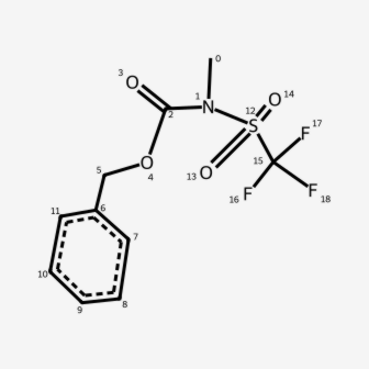 CN(C(=O)OCc1ccccc1)S(=O)(=O)C(F)(F)F